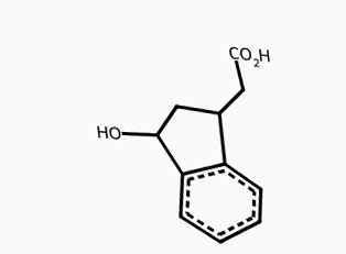 O=C(O)CC1CC(O)c2ccccc21